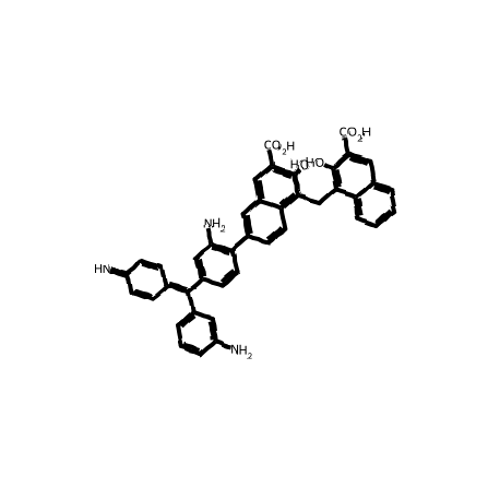 N=C1C=CC(=C(c2cccc(N)c2)c2ccc(-c3ccc4c(Cc5c(O)c(C(=O)O)cc6ccccc56)c(O)c(C(=O)O)cc4c3)c(N)c2)C=C1